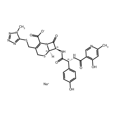 Cc1cc(O)c(C(=O)N[C@@H](C(=O)N[C@@H]2C(=O)N3C(C(=O)[O-])=C(CSc4nnnn4C)CS[C@H]23)c2ccc(O)cc2)cn1.[Na+]